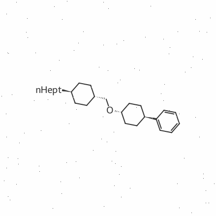 CCCCCCC[C@H]1CC[C@H](CO[C@H]2CC[C@H](c3ccccc3)CC2)CC1